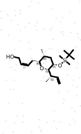 C=C[C@H](C)[C@@H]1O[C@H](C/C=C\CO)[C@H](C)C[C@@H]1O[Si](C)(C)C(C)(C)C